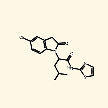 CC(C)CC(C(=O)Nc1nccs1)N1C(=O)Cc2cc(Cl)ccc21